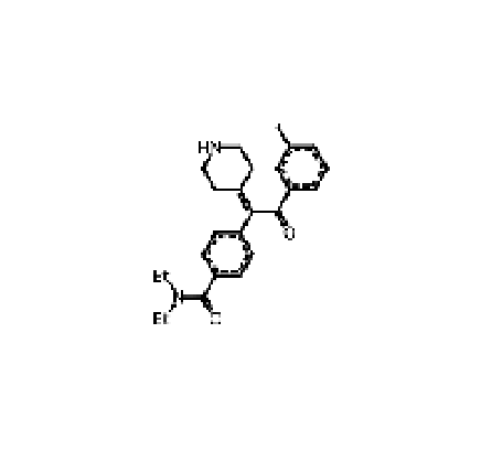 CCN(CC)C(=O)c1ccc(C(C(=O)c2cccc(C)c2)=C2CCNCC2)cc1